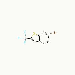 FC(F)(F)c1cc2ccc(Br)cc2s1